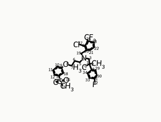 CC(C)(CN(CCCOc1cccc(S(C)(=O)=O)c1)Cc1cccc(C(F)(F)F)c1Cl)c1ccc(F)cc1